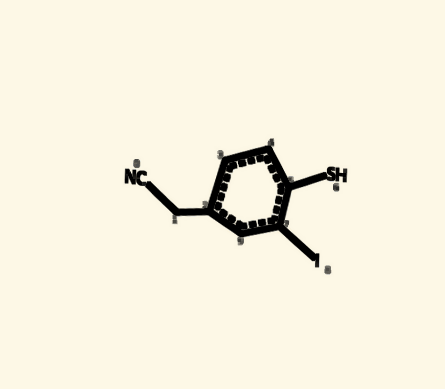 N#CCc1ccc(S)c(I)c1